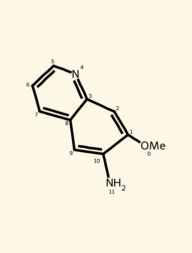 COc1cc2ncccc2cc1N